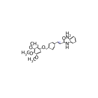 COc1cc(OCc2ccc(/C=C/C(=O)Nc3ccccc3N)cc2)cc(OC)c1OC